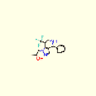 CC(O)Cn1ncc2c1C(C(F)(F)F)CNC2c1ccccc1